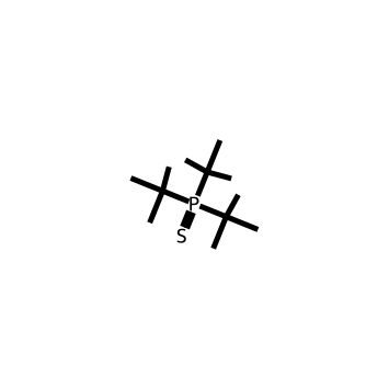 CC(C)(C)P(=S)(C(C)(C)C)C(C)(C)C